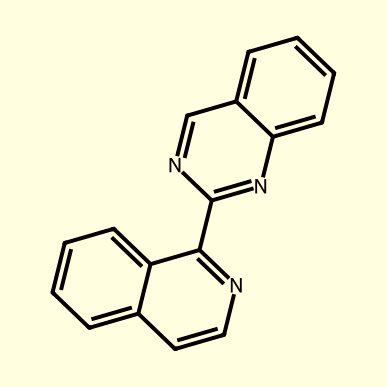 c1ccc2nc(-c3nccc4ccccc34)ncc2c1